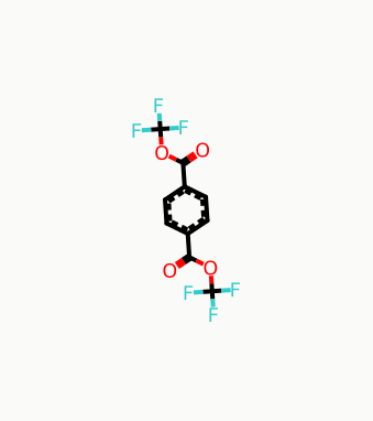 O=C(OC(F)(F)F)c1ccc(C(=O)OC(F)(F)F)cc1